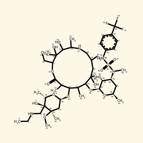 CCNC[C@]1(O)[C@H](C)O[C@@H](OC2C(C)C(=O)OC(CC)C(C)(O)C(O)C(C)NCC(C)CC(C)(O)C(O[C@@H]3O[C@H](C)C[C@H](N(C)S(=O)(=O)Nc4ccc(C(F)(F)F)cc4)[C@H]3O)C2C)C[C@@]1(C)OC